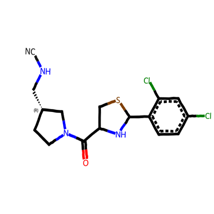 N#CNC[C@H]1CCN(C(=O)C2CSC(c3ccc(Cl)cc3Cl)N2)C1